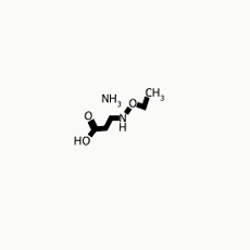 CCONCCC(=O)O.N